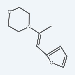 C/C(=C\c1ccco1)N1CCOCC1